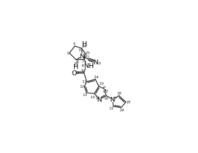 N#CN1[C@H]2CC[C@@H]1[C@H](NC(=O)c1ccc3nc(-n4cccc4)sc3c1)C2